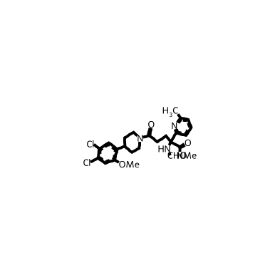 CNC(=O)C(CCC(=O)N1CCC(c2cc(Cl)c(Cl)cc2OC)CC1)(NC=O)c1cccc(C)n1